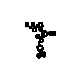 NC(=O)[C@@H]1CCCN1C[C@@H]1C[C@H](S)CN1C(=O)OCc1ccc([N+](=O)[O-])cc1